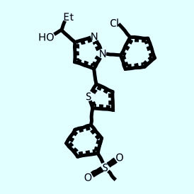 CCC(O)c1cc(-c2ccc(-c3cccc(S(C)(=O)=O)c3)s2)n(-c2ccccc2Cl)n1